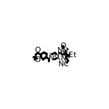 CCn1c(CC#N)nc2c(N3C[C@@H](C)N(C(C)c4ccc5c(c4)OC(C)(C)CC5=O)C[C@@H]3C)nc(=O)n(C)c21